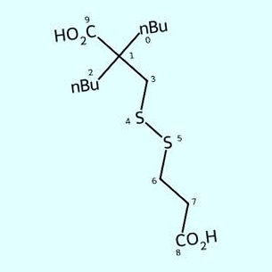 CCCCC(CCCC)(CSSCCC(=O)O)C(=O)O